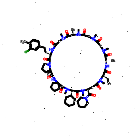 CC[C@H](C)[C@@H]1NC(=O)[C@H](CC(C)C)N(C)C(=O)C[C@@H](C(=O)N2CCCCC2)N(C)C(=O)[C@H](C2CCCCC2)N(C)C(=O)C2(CCCC2)NC(=O)[C@@H]2CCCN2C(=O)[C@H](CCc2ccc(C(F)(F)F)c(Cl)c2)NC(=O)CN(C)C(=O)[C@H](CC)N(C)C(=O)CN(C)C(=O)CN(C)C1=O